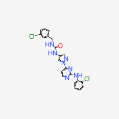 O=C(NCc1cccc(Cl)c1)Nc1cnn(-c2ccnc(Nc3ccccc3Cl)n2)c1